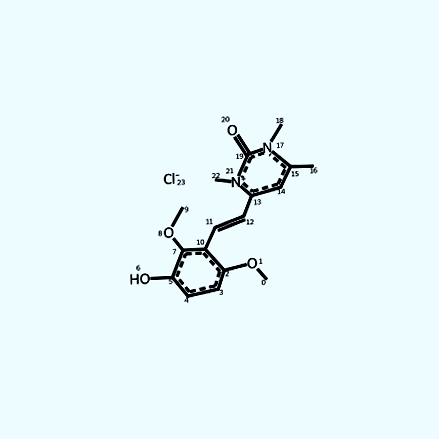 COc1ccc(O)c(OC)c1C=Cc1cc(C)n(C)c(=O)[n+]1C.[Cl-]